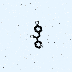 Clc1ccc(CC(Cl)c2cccnc2)cc1